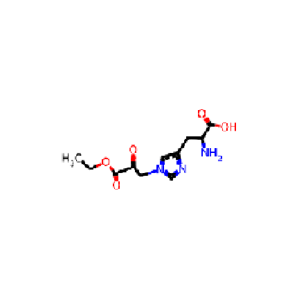 CCOC(=O)C(=O)Cn1cnc(CC(N)C(=O)O)c1